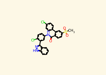 CS(=O)(=O)c1ccc(C(=O)Nc2ccc(Cl)c(-c3n[nH]c4ccccc34)c2)c(-c2ccc(Cl)cc2)c1